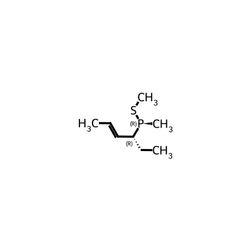 CC=C[C@@H](CC)[P@](C)SC